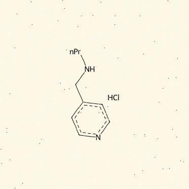 CCCNCc1ccncc1.Cl